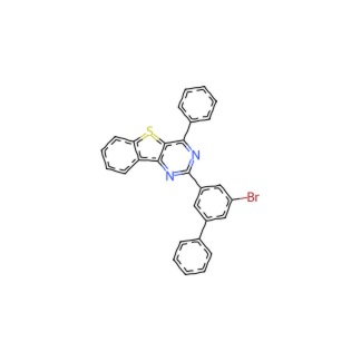 Brc1cc(-c2ccccc2)cc(-c2nc(-c3ccccc3)c3sc4ccccc4c3n2)c1